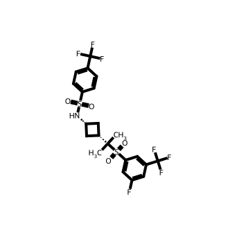 CC(C)([C@H]1C[C@@H](NS(=O)(=O)c2ccc(C(F)(F)F)cc2)C1)S(=O)(=O)c1cc(F)cc(C(F)(F)F)c1